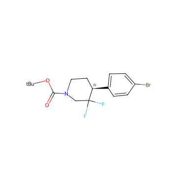 CC(C)(C)OC(=O)N1CC[C@@H](c2ccc(Br)cc2)C(F)(F)C1